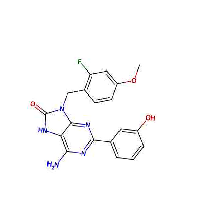 COc1ccc(Cn2c(=O)[nH]c3c(N)nc(-c4cccc(O)c4)nc32)c(F)c1